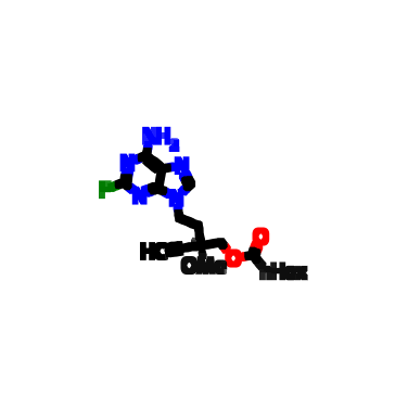 C#C[C@](CCn1cnc2c(N)nc(F)nc21)(COC(=O)CCCCCC)OC